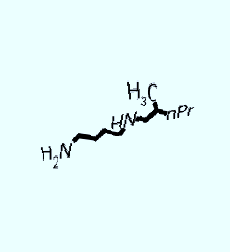 CCCC(C)CNCCCCN